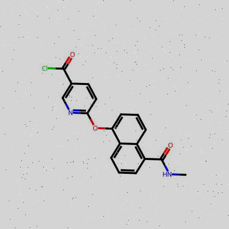 CNC(=O)c1cccc2c(Oc3ccc(C(=O)Cl)cn3)cccc12